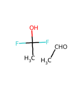 CC(O)(F)F.CC=O